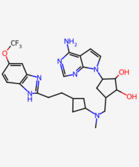 CN(CC1CC(n2ccc3c(N)ncnc32)C(O)C1O)C1CC(CCc2nc3cc(OC(F)(F)F)ccc3[nH]2)C1